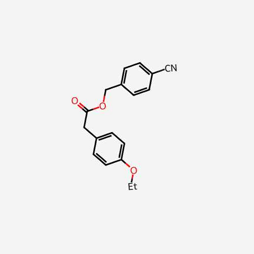 CCOc1ccc(CC(=O)OCc2ccc(C#N)cc2)cc1